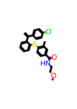 C=C(c1ccc(Cl)cc1)c1ccccc1Sc1ccc(C(=O)NCCOC)cc1C